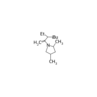 C=C(C(CC)C(C)CC)N1CC(C)CC1C